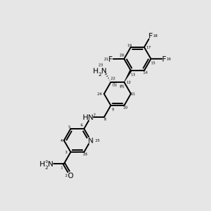 NC(=O)c1ccc(NCC2=CC[C@H](c3cc(F)c(F)cc3F)[C@@H](N)C2)nc1